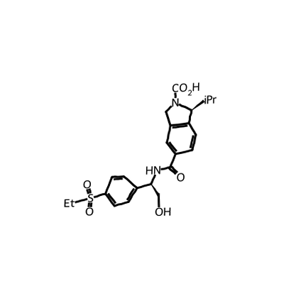 CCS(=O)(=O)c1ccc([C@H](CO)NC(=O)c2ccc3c(c2)CN(C(=O)O)[C@H]3C(C)C)cc1